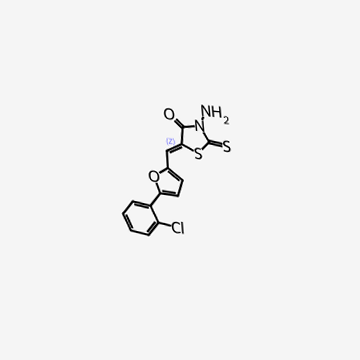 NN1C(=O)/C(=C/c2ccc(-c3ccccc3Cl)o2)SC1=S